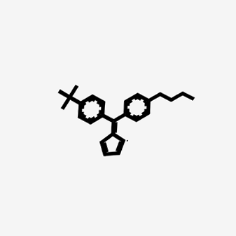 CCCCc1ccc(C(=C2[C]=CC=C2)c2ccc(C(C)(C)C)cc2)cc1